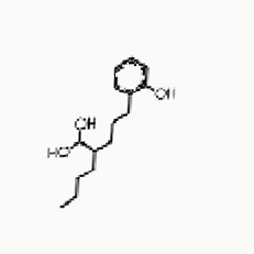 CCCCC(CCCc1ccccc1O)C(O)O